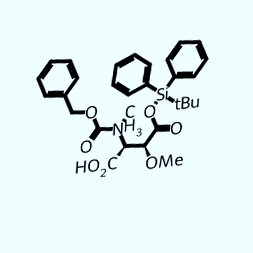 CO[C@H](C(=O)O[Si](c1ccccc1)(c1ccccc1)C(C)(C)C)[C@@H](C(=O)O)N(C)C(=O)OCc1ccccc1